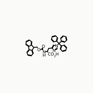 O=C(NC(Cc1cn(C(c2ccccc2)(c2ccccc2)c2ccccc2)cn1)C(=O)O)OCC1c2ccccc2-c2ccccc21